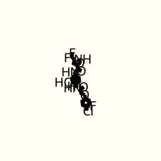 O=C(COc1ccc(Cl)c(F)c1)NC12CCC(NC(=O)C3CC(C(F)F)NO3)(CC1)C[C@@H]2O